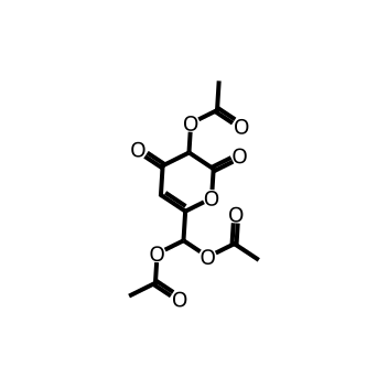 CC(=O)OC(OC(C)=O)C1=CC(=O)C(OC(C)=O)C(=O)O1